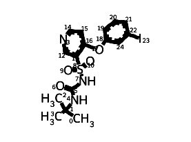 CC(C)(C)NC(=O)NS(=O)(=O)c1cnccc1Oc1cccc(I)c1